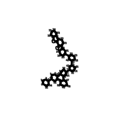 c1ccc(-c2ccc3c4ccc(-c5cccc(-c6cccc(-c7ccc8oc9c(ccc%10c%11ccccc%11oc%109)c8c7)c6)c5)cc4c4ccccc4c3c2)cc1